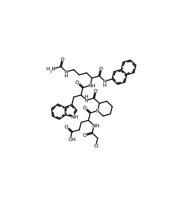 NC(=O)NCCCC(NC(=O)C(Cc1c[nH]c2ccccc12)NC(=O)C1CCCCN1C(=O)C(CCC(=O)O)NC(=O)CCl)C(=O)Nc1ccc2ccccc2c1